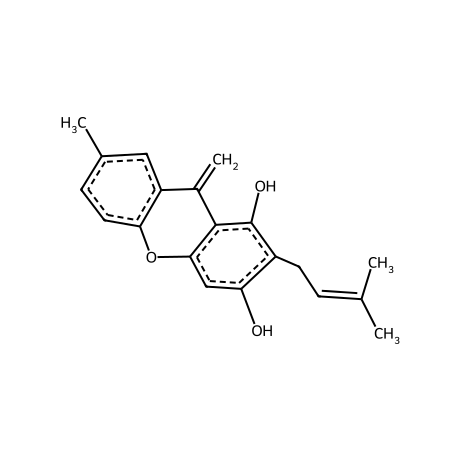 C=C1c2cc(C)ccc2Oc2cc(O)c(CC=C(C)C)c(O)c21